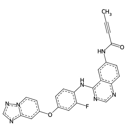 CC#CC(=O)Nc1ccc2ncnc(Nc3ccc(Oc4ccn5ncnc5c4)cc3F)c2c1